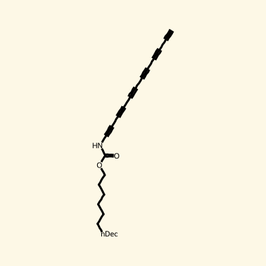 C#CC#CC#CC#CC#CC#CNC(=O)OCCCCCCCCCCCCCCCC